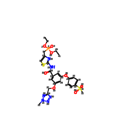 CCOP(=O)(Cc1csc(NC(=O)c2cc(OCc3nnn(C)n3)cc(Oc3ccc(S(C)(=O)=O)cc3)c2)n1)OCC